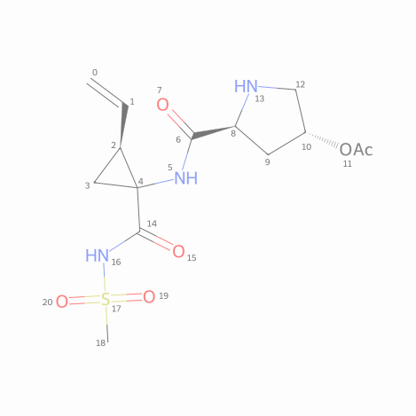 C=C[C@@H]1CC1(NC(=O)[C@@H]1C[C@@H](OC(C)=O)CN1)C(=O)NS(C)(=O)=O